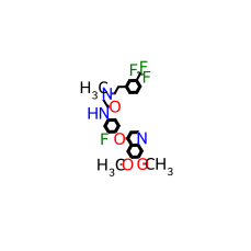 COc1cc2nccc(Oc3ccc(NC(=O)CN(C)CCc4cccc(C(F)(F)F)c4)cc3F)c2cc1OC